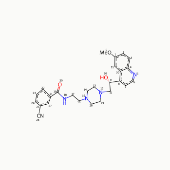 COc1ccc2nccc([C@@H](O)CN3CCN(CCNC(=O)c4cccc(C#N)c4)CC3)c2c1